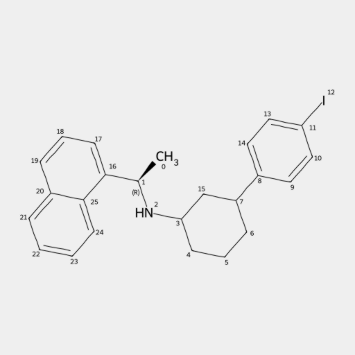 C[C@@H](NC1CCCC(c2ccc(I)cc2)C1)c1cccc2ccccc12